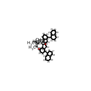 CC(C)[Si](C(C)C)=[Hf]([CH3])([CH3])([CH]1C=Cc2c(-c3cccc4ccccc34)cccc21)[CH]1C=Cc2c(-c3cccc4ccccc34)cccc21